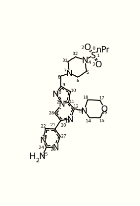 CCCS(=O)(=O)N1CCN(Cc2cc3c(N4CCOCC4)nc(-c4cnc(N)nc4)cn3n2)CC1